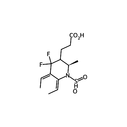 C/C=C1\C(=C/C)C(F)(F)C(CCC(=O)O)[C@@H](C)N1[SH](=O)=O